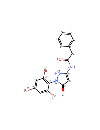 O=C(Cc1ccccc1)Nc1cc(=O)n(-c2c(Br)cc(Br)cc2Br)[nH]1